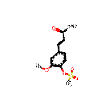 CCOc1cc(C=CC(=O)OC)ccc1OS(=O)(=O)C(F)(F)F